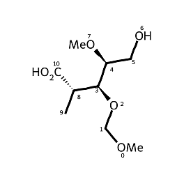 COCO[C@H]([C@H](CO)OC)[C@H](C)C(=O)O